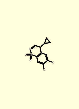 O=S1(=O)N=CN(C2CC2)c2cc(Cl)c(Cl)cc21